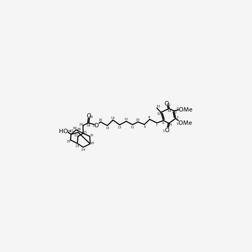 COC1=C(OC)C(=O)C(CCCCCCCCCCOC(=O)CC23CC4CC(CC(O)(C4)C2)C3)=C(C)C1=O